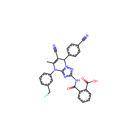 CC1=C(C#N)C(c2ccc(C#N)cc2)n2nc(NC(=O)c3ccccc3C(=O)O)nc2N1c1cccc(CF)c1